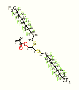 C=C(C)C(=O)OCC(CSCCC(F)(F)C(F)(F)C(F)(F)C(F)(F)C(F)(F)C(F)(F)C(F)(F)C(F)(F)F)SCCC(F)(F)C(F)(F)C(F)(F)C(F)(F)C(F)(F)C(F)(F)C(F)(F)C(F)(F)F